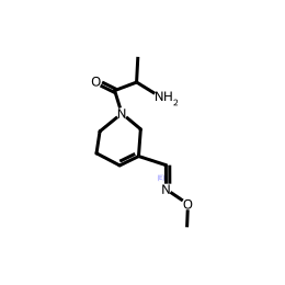 CO/N=C/C1=CCCN(C(=O)C(C)N)C1